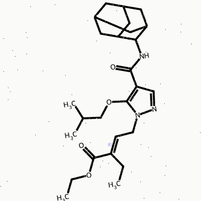 CCOC(=O)/C(=C/Cn1ncc(C(=O)NC2C3CC4CC(C3)CC2C4)c1OCC(C)C)CC